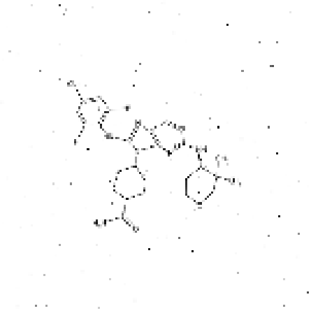 CC1(C)COCC[C@H]1Nc1ncc2nc(Nc3c(F)cc(Cl)cc3F)n([C@H]3CC[C@@H](C(N)=O)CC3)c2n1